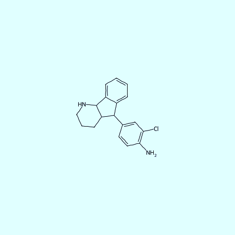 Nc1ccc(C2c3ccccc3C3NCCCC32)cc1Cl